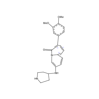 COc1ccc(C2=C\C(=O)N3C=C(NC4CCNCC4)C=C\C3=C/C=C/2)cc1OC